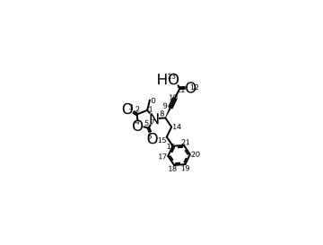 CC1C(=O)OC(=O)N1[C@@H](C#CC(=O)O)CCc1ccccc1